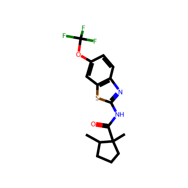 CC1CCCC1(C)C(=O)Nc1nc2ccc(OC(F)(F)F)cc2s1